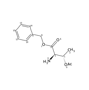 CC(=O)O[C@@H](C)[C@@H](N)C(=O)OCc1ccccc1